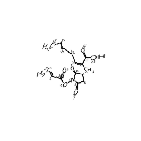 C=CC(=O)ON1C(=O)CCC1=O.CCCCC=C(C)C(=O)O